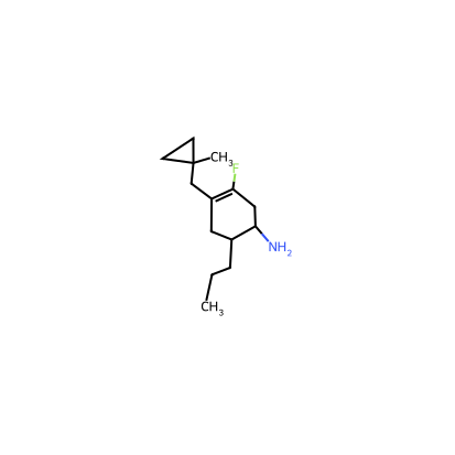 CCCC1CC(CC2(C)CC2)=C(F)CC1N